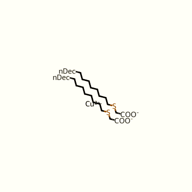 CCCCCCCCCCCCCCCCCCSCC(=O)[O-].CCCCCCCCCCCCCCCCCCSCC(=O)[O-].[Cu+2]